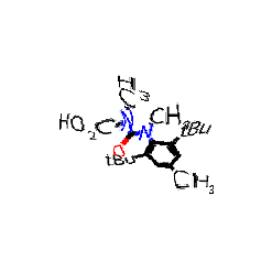 Cc1cc(C(C)(C)C)c(N(C)C(=O)N(C)C(=O)O)c(C(C)(C)C)c1